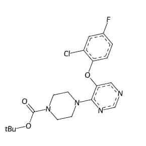 CC(C)(C)OC(=O)N1CCN(c2ncncc2Oc2ccc(F)cc2Cl)CC1